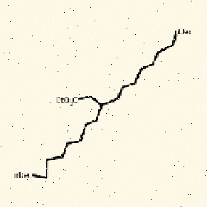 CCCCCCCCCCCCCCCCCC(CCCCCCCCCCCCCCCCC)CC(=O)OCC